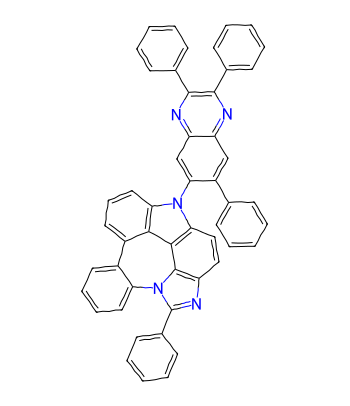 c1ccc(-c2cc3nc(-c4ccccc4)c(-c4ccccc4)nc3cc2-n2c3cccc4c5ccccc5n5c(-c6ccccc6)nc6ccc2c(c43)c65)cc1